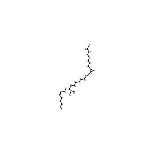 CCCCC/C=C\CCC(CCCCCCCCC1CC1CCCCCCCC)N(C)C